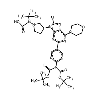 CC(C)(C)OC(=O)N(C(=O)OC(C)(C)C)c1ncc(-c2nc(N3CCOCC3)c3nc(Cl)n([C@H]4CCN(N(C(=O)O)C(C)(C)C)C4)c3n2)cn1